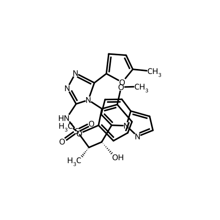 COc1cccc(OC)c1-n1c(NS(=O)(=O)[C@@H](C)[C@@H](O)c2cccc3ccnn23)nnc1-c1ccc(C)o1